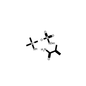 C=C(C)C(N)=O.CCCCCCCCCCS(=O)(=O)[O-].CCC[N+](C)(C)C